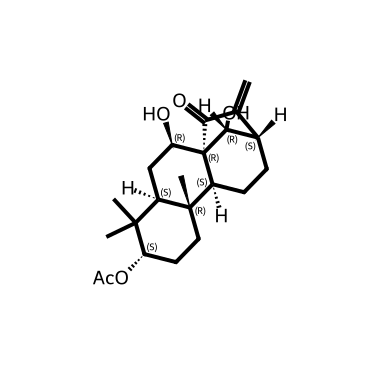 C=C1C(=O)[C@@]23[C@H](O)C[C@@H]4C(C)(C)[C@@H](OC(C)=O)CC[C@@]4(C)[C@@H]2CC[C@@H]1[C@H]3O